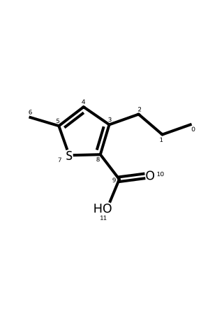 CCCc1cc(C)sc1C(=O)O